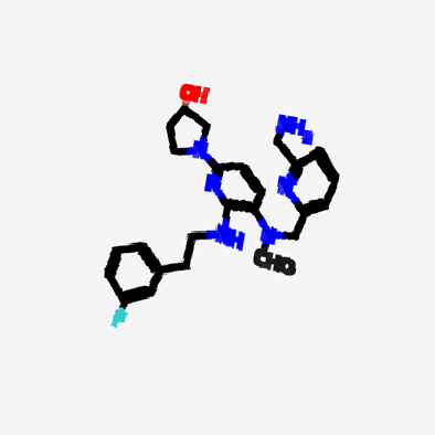 NCc1cccc(CN(C=O)c2ccc(N3CC[C@H](O)C3)nc2NCCc2cccc(F)c2)n1